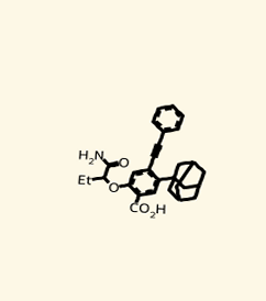 CCC(Oc1cc(C#Cc2ccccc2)c(C23CC4CC(CC(C4)C2)C3)cc1C(=O)O)C(N)=O